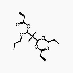 C=CC(=O)OC(OCCC)C(C)(C)C(OCCC)OC(=O)C=C